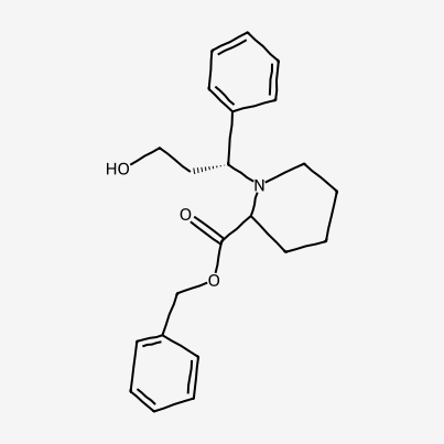 O=C(OCc1ccccc1)C1CCCCN1[C@H](CCO)c1ccccc1